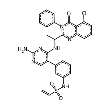 C=CS(=O)(=O)Nc1cccc(-c2cnc(N)nc2NC(C)c2nc3cccc(Cl)c3c(=O)n2-c2ccccc2)c1